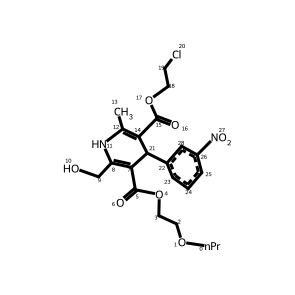 CCCOCCOC(=O)C1=C(CO)NC(C)=C(C(=O)OCCCl)C1c1cccc([N+](=O)[O-])c1